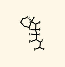 C[Si]1(C(F)C(F)(F)C(F)(F)C(F)C(F)C(F)F)CCCCO1